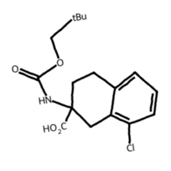 CC(C)(C)COC(=O)NC1(C(=O)O)CCc2cccc(Cl)c2C1